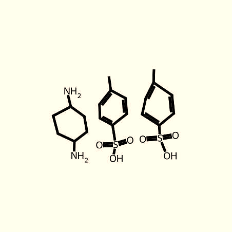 Cc1ccc(S(=O)(=O)O)cc1.Cc1ccc(S(=O)(=O)O)cc1.NC1CCC(N)CC1